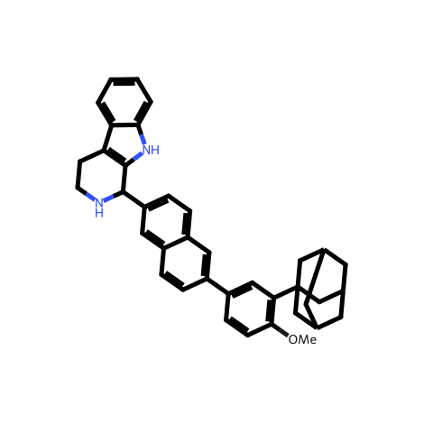 COc1ccc(-c2ccc3cc(C4NCCc5c4[nH]c4ccccc54)ccc3c2)cc1C12CC3CC(CC(C3)C1)C2